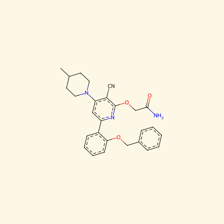 CC1CCN(c2cc(-c3ccccc3OCc3ccccc3)nc(OCC(N)=O)c2C#N)CC1